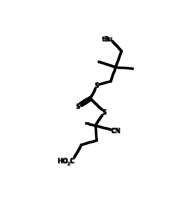 CC(C)(C)CC(C)(C)CSC(=S)SC(C)(C#N)CCC(=O)O